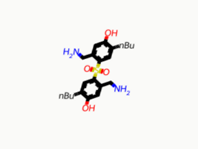 CCCCc1cc(S(=O)(=O)c2cc(CCCC)c(O)cc2CN)c(CN)cc1O